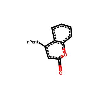 [CH2]CCCCc1cc(=O)oc2ccccc12